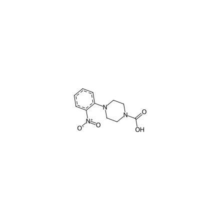 O=C(O)N1CCN(c2ccccc2[N+](=O)[O-])CC1